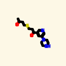 CC(=O)CCSCCC(=O)c1cncc(N2CCNCC2)c1